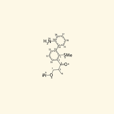 CSc1c(C(=O)C(C)COC(C)C)cccc1-c1ccc[c]c1N